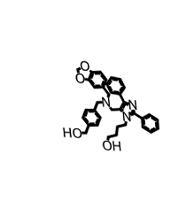 OCCCCn1c(-c2ccccc2)nc(-c2ccccc2)c1CN(Cc1ccc(CO)cc1)Cc1ccc2c(c1)OCO2